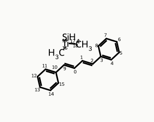 C(C=Cc1ccccc1)=Cc1ccccc1.[CH3][Ti][CH3].[SiH4]